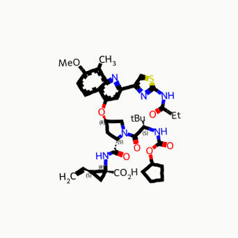 C=C[C@@H]1C[C@]1(NC(=O)[C@@H]1C[C@@H](Oc2cc(-c3csc(NC(=O)CC)n3)nc3c(C)c(OC)ccc23)CN1C(=O)[C@@H](NC(=O)OC1CCCC1)C(C)(C)C)C(=O)O